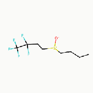 CCCC[S+]([O-])CCC(F)(F)C(F)(F)F